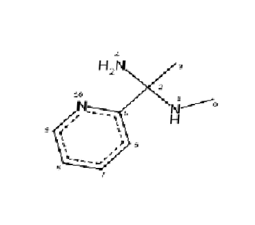 CNC(C)(N)c1ccccn1